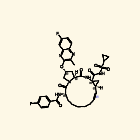 Cc1nc2ccc(F)cc2nc1O[C@@H]1C[C@H]2C(=O)N[C@]3(C(=O)NS(=O)(=O)C4CC4)C[C@H]3/C=C\CCCCC[C@H](NC(=O)c3ccc(F)cc3)C(=O)N2C1